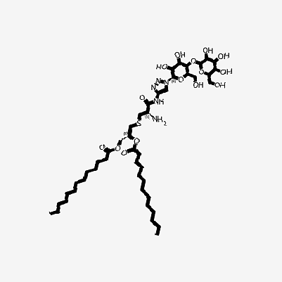 CCCCCCCCCCCCC(=O)OC[C@H](CSC[C@@H](N)C(=O)Nc1cn([C@@H]2OC(CO)C(OC3OC(CO)C(O)C(O)C3O)C(O)C2O)nn1)OC(=O)CCCCCCCCCCCC